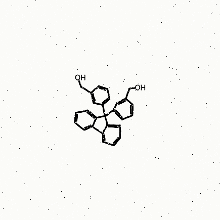 OCc1cccc(C2(c3cccc(CO)c3)c3ccccc3-c3ccccc32)c1